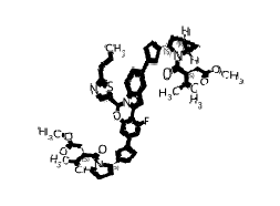 CCCc1ncc(C2Oc3cc(C4=CC=C([C@@H]5CCCN5C(=O)[C@@H](CC(=O)OC)C(C)C)C4)cc(F)c3-c3cc4cc(C5=CC=C([C@@H]6C[C@H]7C[C@H]7N6C(=O)[C@@H](CC(=O)OC)C(C)C)C5)ccc4n32)s1